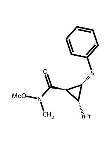 CCC[C@H]1[C@@H](Sc2ccccc2)[C@@H]1C(=O)N(C)OC